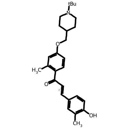 Cc1cc(/C=C/C(=O)c2ccc(OCC3CCN(C(C)(C)C)CC3)cc2C)ccc1O